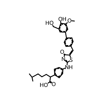 COc1cc(-c2ccc(C=C3SC(Nc4ccc(C(CCCC(C)C)C(=O)O)cc4)=NC3=O)cc2)cc(CO)c1O